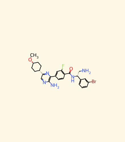 CO[C@H]1CC[C@H](c2cnc(N)c(-c3ccc(C(=O)N[C@H](CN)c4cccc(Br)c4)c(F)c3)n2)CC1